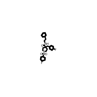 O=C(NCCc1ccccc1)C1(Cc2ccc(F)cc2)CCN(S(=O)(=O)c2ccc(F)cc2)CC1